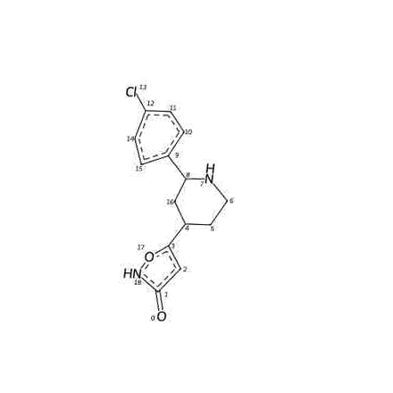 O=c1cc(C2CCNC(c3ccc(Cl)cc3)C2)o[nH]1